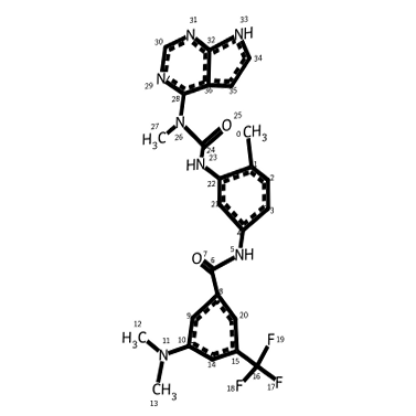 Cc1ccc(NC(=O)c2cc(N(C)C)cc(C(F)(F)F)c2)cc1NC(=O)N(C)c1ncnc2[nH]ccc12